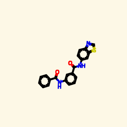 O=C(Nc1cccc(C(=O)Nc2ccc3ncsc3c2)c1)c1ccccc1